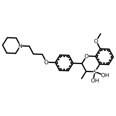 COc1cccc2c1OC(c1ccc(OCCCN3CCCCC3)cc1)C(C)S2(O)O